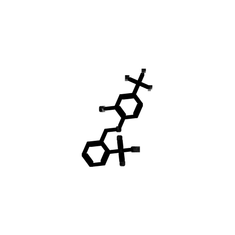 O=S(=O)(O)c1ccccc1COc1ccc(C(F)(F)F)cc1Cl